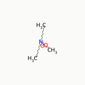 CCCCCCCCCN(CCCCCCCCC)CC(=O)OCCC